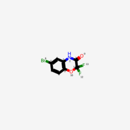 O=C1Nc2cc(Br)ccc2OC1(F)F